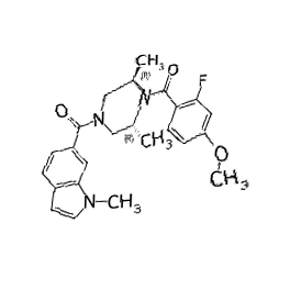 COc1ccc(C(=O)N2[C@H](C)CN(C(=O)c3ccc4ccn(C)c4c3)C[C@H]2C)c(F)c1